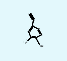 [C]#Cc1ccc(C(C)(C)C)c(C(F)(F)F)c1